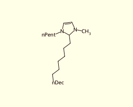 CCCCCCCCCCCCCCCCC1N(C)C=CN1CCCCC